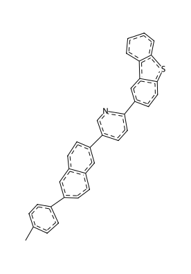 Cc1ccc(-c2ccc3cc(-c4ccc(-c5ccc6sc7ccccc7c6c5)nc4)ccc3c2)cc1